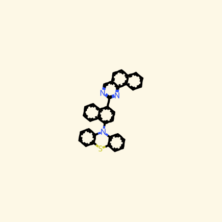 c1ccc2c(c1)Sc1ccccc1N2c1ccc(-c2ncc3ccc4ccccc4c3n2)c2ccccc12